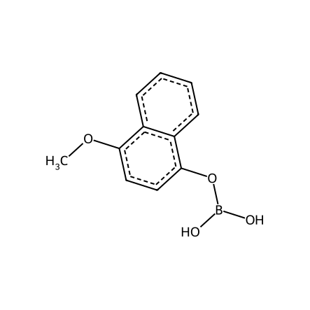 COc1ccc(OB(O)O)c2ccccc12